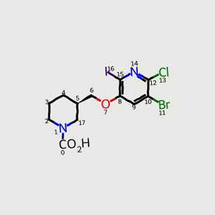 O=C(O)N1CCC[C@@H](COc2cc(Br)c(Cl)nc2I)C1